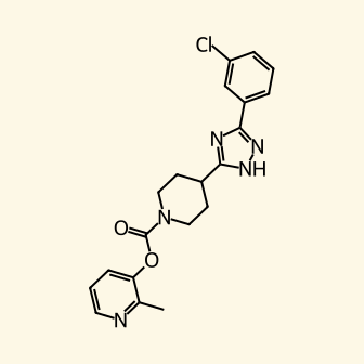 Cc1ncccc1OC(=O)N1CCC(c2nc(-c3cccc(Cl)c3)n[nH]2)CC1